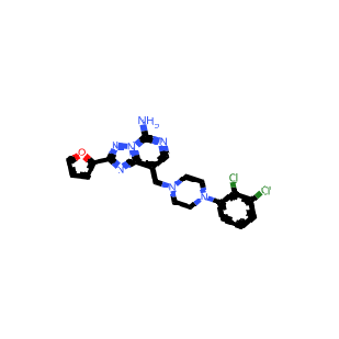 Nc1ncc(CN2CCN(c3cccc(Cl)c3Cl)CC2)c2nc(-c3ccco3)nn12